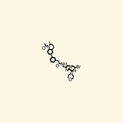 CC(=O)N1c2ccc(-c3cccc(CC(=O)NCc4cn5cc(Br)nc(N6CCOCC6)c5n4)c3)cc2CC[C@@H]1C